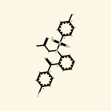 C=C(C)CN(c1ccccc1C(=C)c1ccc(F)cc1)S(=O)(=O)c1ccc(C)cc1